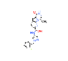 C[C@@H]1CNC(=O)c2cc3ccc(C(O)Nc4cnn(Cc5ccc(F)cc5F)c4)nc3n21